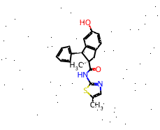 Cc1cnc(NC(=O)[C@]2(C)Cc3ccc(O)cc3[C@@H]2c2ccccc2)s1